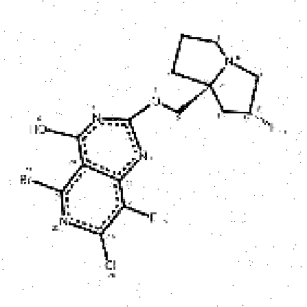 Oc1nc(OC[C@@]23CCCN2C[C@H](F)C3)nc2c(F)c(Cl)nc(Br)c12